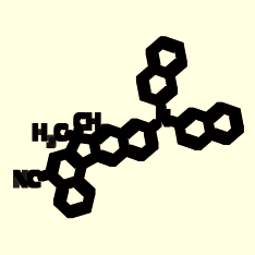 CC1(C)c2cc3cc(N(c4ccc5ccccc5c4)c4ccc5ccccc5c4)ccc3cc2-c2c1cc(C#N)c1ccccc21